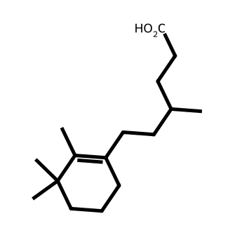 CC1=C(CCC(C)CCC(=O)O)CCCC1(C)C